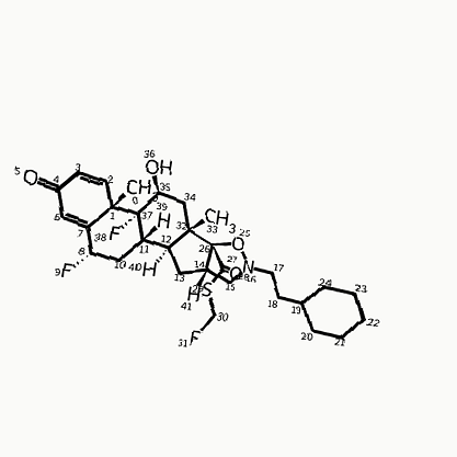 C[C@]12C=CC(=O)C=C1[C@@H](F)C[C@H]1[C@@H]3C[C@H]4CN(CCC5CCCCC5)O[C@@]4(C(=O)SCF)[C@@]3(C)C[C@H](O)[C@@]12F